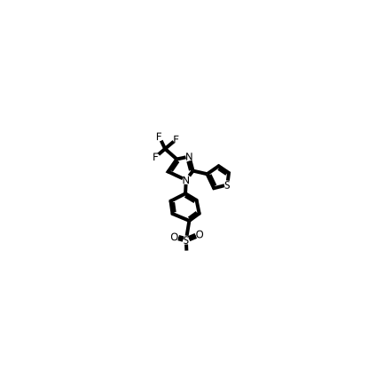 CS(=O)(=O)c1ccc(-n2cc(C(F)(F)F)nc2-c2ccsc2)cc1